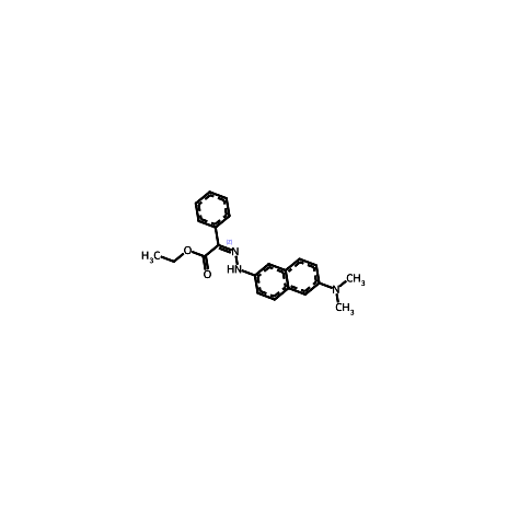 CCOC(=O)/C(=N\Nc1ccc2cc(N(C)C)ccc2c1)c1ccccc1